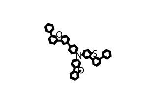 c1ccc(-c2cccc3c2oc2ccc(-c4ccc(N(c5ccc6c(c5)oc5ccccc56)c5ccc6sc7c(-c8ccccc8)cccc7c6c5)cc4)cc23)cc1